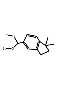 CCOC(OCC)c1ccc2c(c1)CCC2(C)C